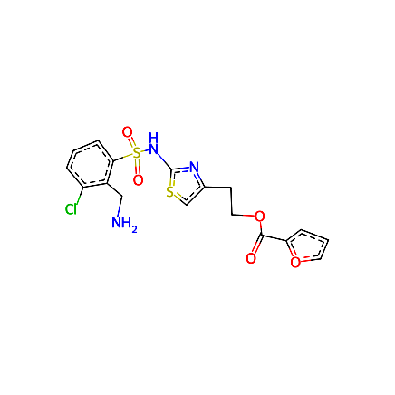 NCc1c(Cl)cccc1S(=O)(=O)Nc1nc(CCOC(=O)c2ccco2)cs1